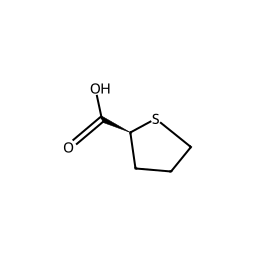 O=C(O)[C@@H]1CCCS1